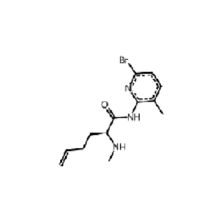 C=CCC[C@H](NC)C(=O)Nc1nc(Br)ccc1C